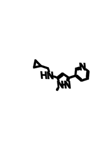 Cn1nc(-c2cccnc2)cc1NCC1CC1